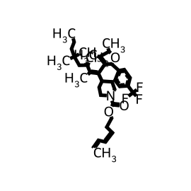 C=C(CC(C)(C)CCC)/C(C)=C(\C1=C(C)C(C)OC1c1ccc(C(F)(F)F)cc1)C1CCN(C(=O)OCC/C=C\C=C/C)CC1